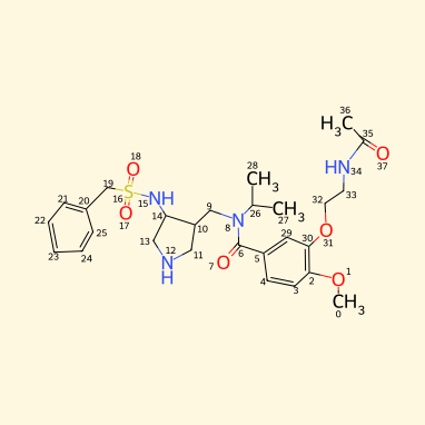 COc1ccc(C(=O)N(CC2CNCC2NS(=O)(=O)Cc2ccccc2)C(C)C)cc1OCCNC(C)=O